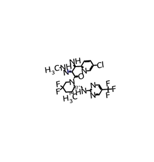 CN/N=C(\C(=N)c1ccc(Cl)cn1)C(=O)N1CC(F)(F)C[C@@H](C)[C@H]1CNc1ncc(C(F)(F)F)cn1